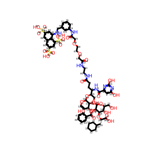 O=C(CCC(NC(=O)c1cc(O)nc(O)n1)C(COC1OC(CO)C(O)C(O[C@@H](CC2CCCCC2)C(=O)O)C1OC(=O)c1ccccc1)OC1OC=C(O)C(O)C1O)NCCNC(=O)COCCOCC(=O)Nc1cccc(CNc2cc(S(=O)(=O)O)cc3cc(S(=O)(=O)O)cc(S(=O)(=O)O)c23)c1